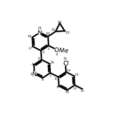 COc1c(-c2cncc(-c3ccc(C)cc3Cl)c2)ccnc1C1CC1